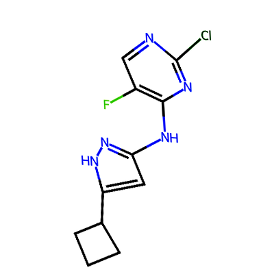 Fc1cnc(Cl)nc1Nc1cc(C2CCC2)[nH]n1